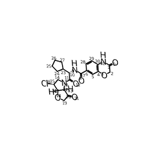 O=C1COc2cc(C(=O)N[C@H](C(=O)N3C[C@H](Cl)[C@H]4OCC(=O)[C@H]43)C3CCCC3)ccc2N1